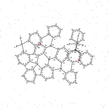 FC(F)(F)c1ccc(-c2ccccc2N2c3cc(N(c4ccccc4)c4ccccc4)cc4c3B3c5c2cccc5[Si](c2ccccc2)(c2ccccc2)c2cccc(c23)N4c2ccccc2-c2ccc(C(F)(F)F)cc2)cc1